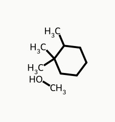 CC1CCCCC1(C)C.CO